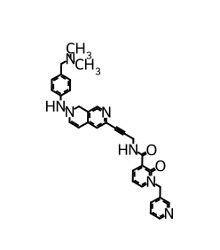 CN(C)Cc1ccc(NN2C=Cc3cc(C#CCNC(=O)c4cccn(Cc5cccnc5)c4=O)ncc3C2)cc1